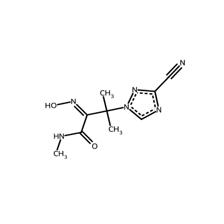 CNC(=O)C(=NO)C(C)(C)n1cnc(C#N)n1